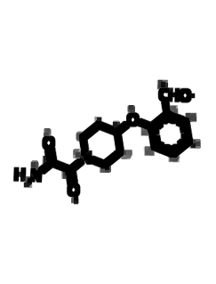 NC(=O)C(=O)N1CCC(Oc2ccccc2[C]=O)CC1